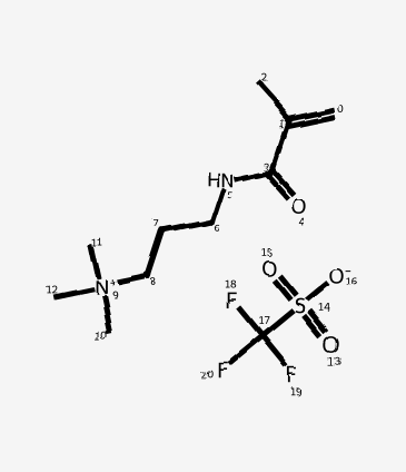 C=C(C)C(=O)NCCC[N+](C)(C)C.O=S(=O)([O-])C(F)(F)F